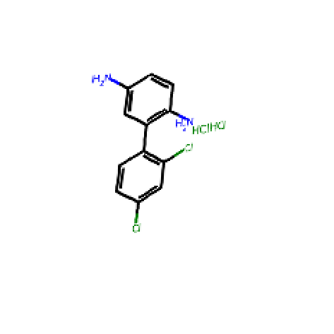 Cl.Cl.Nc1ccc(N)c(-c2ccc(Cl)cc2Cl)c1